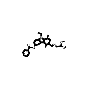 CCn1c2ccc(OC(=O)c3ccccc3)cc2c2c(C)c(/C=N/CC(OC)OC)cc(C)c21